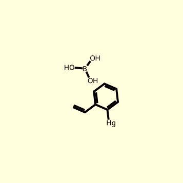 C=Cc1cccc[c]1[Hg].OB(O)O